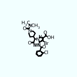 CN(C)C(=O)N1CCC(C(C(N)=O)n2nc(C(=O)O)c(Br)c2NC(=O)c2ccccc2Cl)CC1